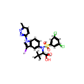 Cc1ccc(-n2cc(I)c3cc(N(C(C(=O)O)C(C)(C)C)S(=O)(=O)c4cc(Cl)cc(Cl)c4)ccc32)nn1